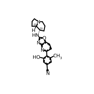 Cc1cc(C#N)cc(O)c1-c1ccc2oc(N[C@H]3CCCN4CCC[C@@H]34)nc2n1